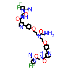 N#C[C@@H]1CC(F)(F)CN1C(=O)CNC(=O)c1ccnc(-c2ccc(OCCCN(CCCOc3ccc(-c4cc(C(=O)NCC(=O)N5CC(F)(F)C[C@H]5C#N)ccn4)cc3)C(=O)CN)cc2)c1